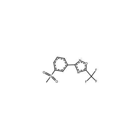 CS(=O)(=O)c1cccc(-c2noc(C(F)(F)F)n2)c1